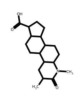 CC1CC2C3CCC4C(C(=O)O)CCC4C3CCC2N(C)C1=O